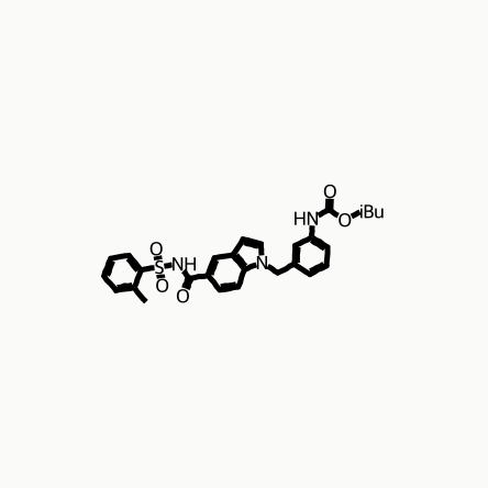 CCC(C)OC(=O)Nc1cccc(Cn2ccc3cc(C(=O)NS(=O)(=O)c4ccccc4C)ccc32)c1